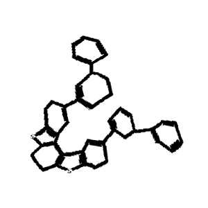 C1=CCC(C2C=CC=C(C3=Cc4c(sc5c4-c4c(sc6c4C=C(C4=CC(C7=CCCC=C7)CCC4)CC6)CC5)CC3)C2)C=C1